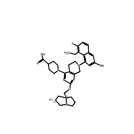 CCc1c(F)ccc2cc(O)cc(N3CCc4c(nc(OC[C@@]56CCCN5C[C@H](F)C6)nc4N4CCC(C(=O)O)CC4)C3)c12